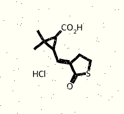 CC1(C)C(C=C2CCSC2=O)C1C(=O)O.Cl